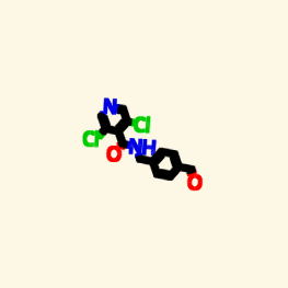 O=Cc1ccc(CNC(=O)c2c(Cl)cncc2Cl)cc1